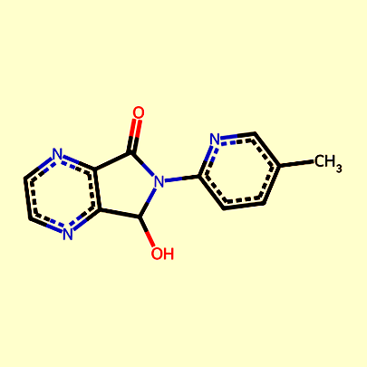 Cc1ccc(N2C(=O)c3nccnc3C2O)nc1